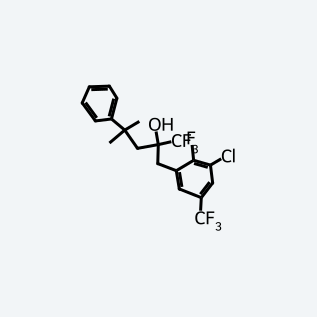 CC(C)(CC(O)(Cc1cc(C(F)(F)F)cc(Cl)c1F)C(F)(F)F)c1ccccc1